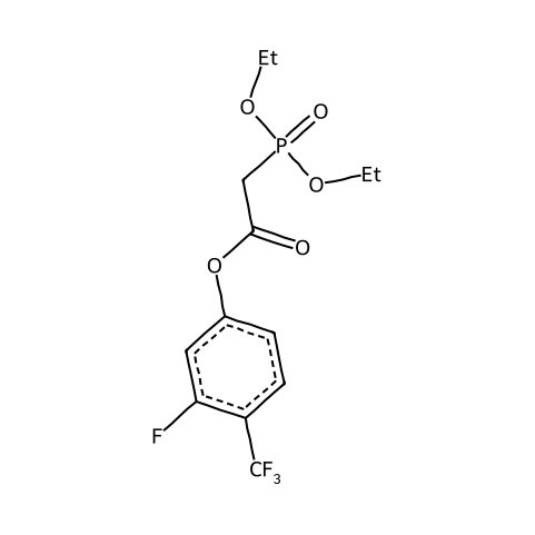 CCOP(=O)(CC(=O)Oc1ccc(C(F)(F)F)c(F)c1)OCC